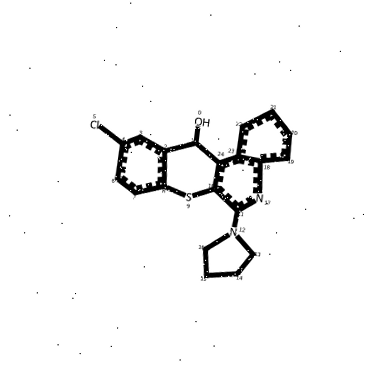 OC1c2cc(Cl)ccc2Sc2c(N3CCCC3)nc3ccccc3c21